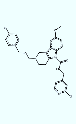 COc1ccc2c(c1)c1c(n2C(=O)NCc2ccnc(Cl)c2)CCN(CC=Cc2ccc(Cl)cc2)C1